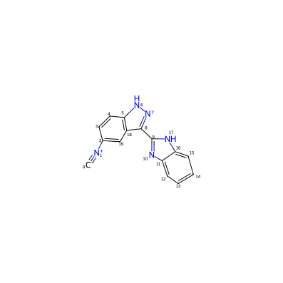 [C-]#[N+]c1ccc2[nH]nc(-c3nc4ccccc4[nH]3)c2c1